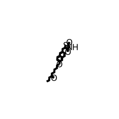 CCCC(=O)CCCCCOc1ccc2cc(CC3SC(=O)NC3=O)ccc2c1